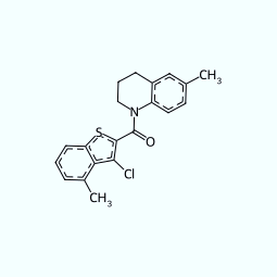 Cc1ccc2c(c1)CCCN2C(=O)c1sc2cccc(C)c2c1Cl